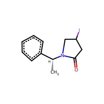 C[C@H](c1ccccc1)N1CC(I)CC1=O